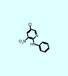 O=[N+]([O-])c1cc(Cl)cnc1Nc1c[c]ccc1